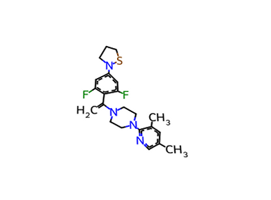 C=C(c1c(F)cc(N2CCCS2)cc1F)N1CCN(c2ncc(C)cc2C)CC1